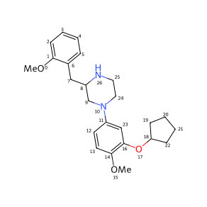 COc1ccccc1CC1CN(c2ccc(OC)c(OC3CCCC3)c2)CCN1